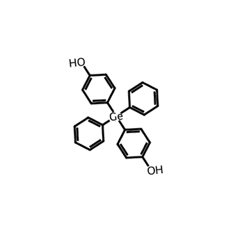 Oc1cc[c]([Ge]([c]2ccccc2)([c]2ccccc2)[c]2ccc(O)cc2)cc1